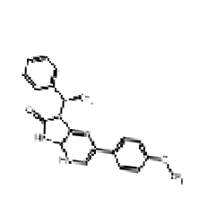 C[C@H](c1ccccc1)N1C(=O)NC2NC=C(c3ccc(OC(F)(F)F)cc3)N=C21